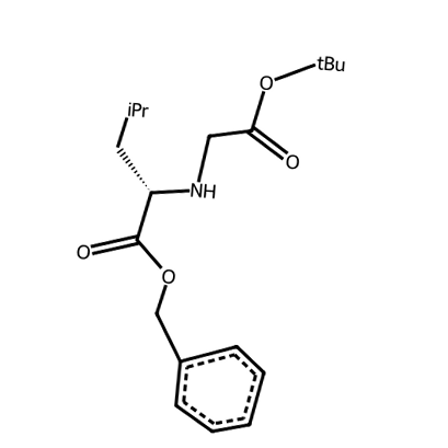 CC(C)C[C@H](NCC(=O)OC(C)(C)C)C(=O)OCc1ccccc1